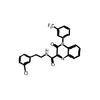 O=C(NCCc1cccc(Cl)c1)c1nc2ccccc2n(-c2cccc(C(F)(F)F)c2)c1=O